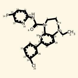 CCN1CCCN(C(=O)Nc2ccc(F)cn2)c2nc(-c3cccc(Cl)c3)ccc21